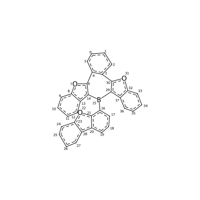 c1ccc2c(c1)-c1oc3ccccc3c1B(c1cccc3c1oc1ccccc13)c1c-2oc2ccccc12